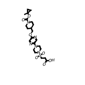 CC1(OC(=O)N2CCC(COc3cnc(N4CCN(S(=O)(=O)CCC(=O)O)CC4)cn3)CC2)CC1